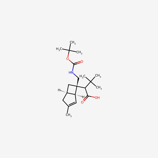 CC1=C[C@H]2[C@@H](C1)C[C@]2(CNC(=O)OC(C)(C)C)C(C(=O)O)C(C)(C)C